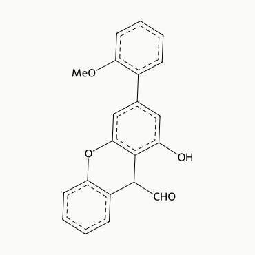 COc1ccccc1-c1cc(O)c2c(c1)Oc1ccccc1C2C=O